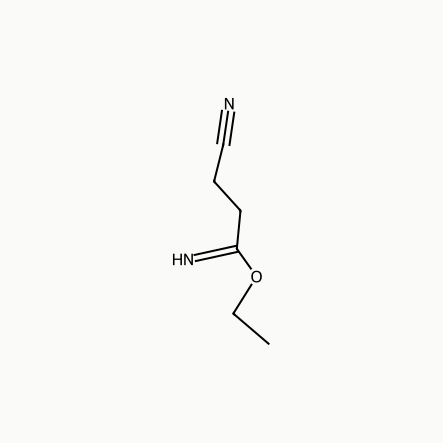 CCOC(=N)CCC#N